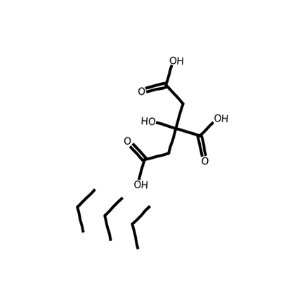 CCC.CCC.CCC.O=C(O)CC(O)(CC(=O)O)C(=O)O